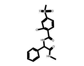 CNC(=O)C(NC(=O)c1ccc(S(C)(=O)=O)cc1Cl)c1ccccc1